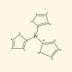 C1=CC[C]([Pr]([C]2=CC=CC2)[C]2=CC=CC2)=C1